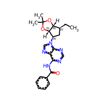 CC[C@H]1C[C@@H](n2cnc3c(NC(=O)c4ccccc4)ncnc32)[C@@H]2OC(C)(C)O[C@H]12